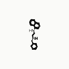 c1ccc(CNCCNc2cccc3ccccc23)cc1